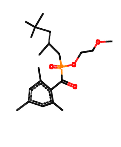 COCCOP(=O)(CC(C)CC(C)(C)C)C(=O)c1c(C)cc(C)cc1C